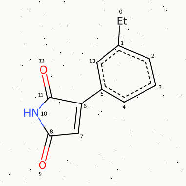 CCc1cccc(C2=CC(=O)NC2=O)c1